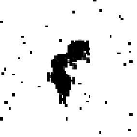 CC(C)[C@H](NC(=O)OC(C)(C)C)C(=O)N[C@@H](C)C(=O)Nc1ccc(COC(=O)N(C)Cc2ccccc2C(=O)Nc2ncnc3c2ncn3[C@@H]2O[C@@H]3CO[P@@](=O)(S)O[C@@H]4[C@H](O)[C@@H](CO[P@@](=O)(S)O[C@H]3[C@H]2F)O[C@H]4n2cc(F)c3c(=O)[nH]cnc32)cc1